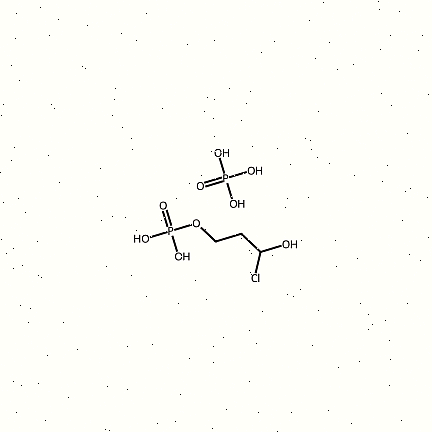 O=P(O)(O)O.O=P(O)(O)OCCC(O)Cl